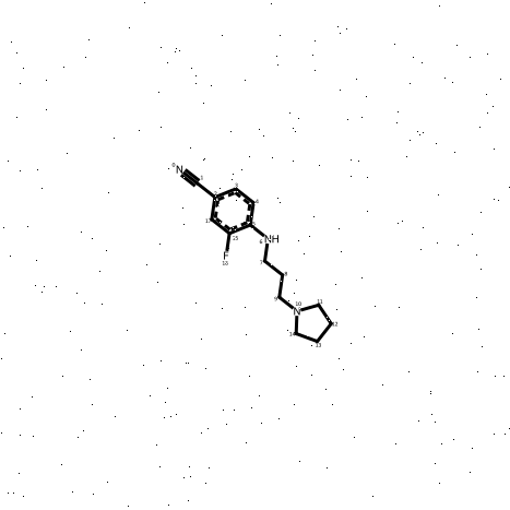 N#Cc1ccc(NCCCN2CCCC2)c(F)c1